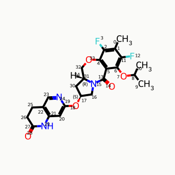 Cc1c(F)c2c(c(OC(C)C)c1F)C(=O)N1C[C@@H](Oc3cc4c(cn3)CCC(=O)N4)C[C@@H]1CO2